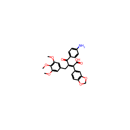 COc1cc(CC(C(=O)c2ccc(N)cc2)=C(C(=O)O)c2ccc3c(c2)OCO3)cc(OC)c1OC